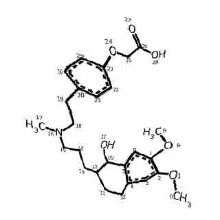 COc1cc2c(cc1OC)C(O)C(CCCN(C)CCc1ccc(OCC(=O)O)cc1)CC2